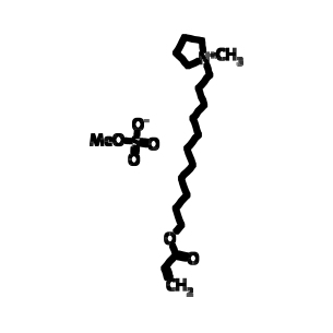 C=CC(=O)OCCCCCCCCCCC[N+]1(C)CCCC1.COS(=O)(=O)[O-]